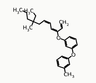 C=C/C(=C\C=C/CC(C)(CC)CCC)Oc1cccc(Oc2cccc(C)c2)c1